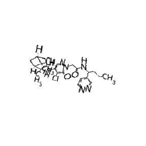 CCCC(NC(=O)Cn1ncc(N[C@@H]2C[C@@H]3C[C@H]([C@H]2C)C3(C)C)c(Cl)c1=O)c1ccnnc1